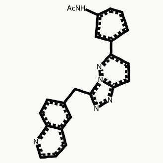 CC(=O)Nc1cccc(-c2ccc3nnc(Cc4ccc5ncccc5c4)n3n2)c1